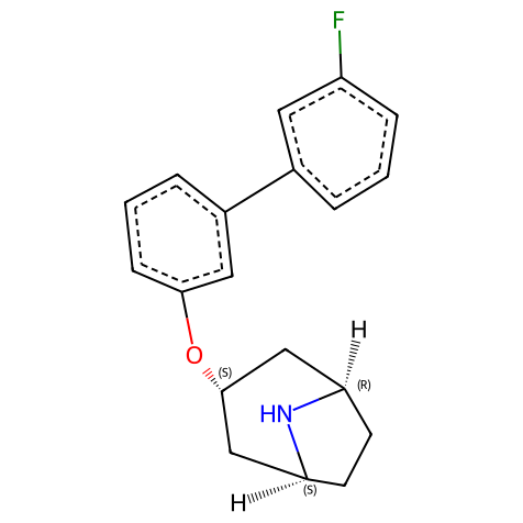 Fc1cccc(-c2cccc(O[C@@H]3C[C@H]4CC[C@@H](C3)N4)c2)c1